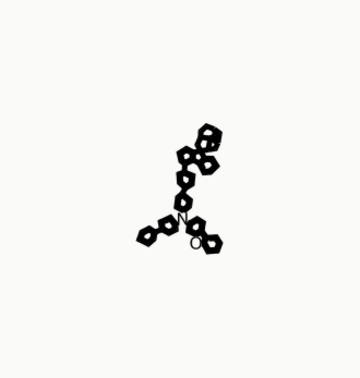 c1ccc(-c2ccc(N(c3ccc(-c4ccc(-c5cccc6c5-c5ccccc5C65CC6CCC7CC8CC5C86C7)cc4)cc3)c3ccc4c(c3)oc3ccccc34)cc2)cc1